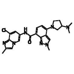 Cc1cn2cc(NC(=O)c3ccc(N4CCC(N(C)C)C4)c4cn(C)nc34)cc(Cl)c2n1